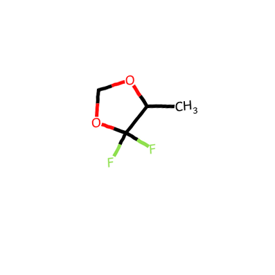 CC1OCOC1(F)F